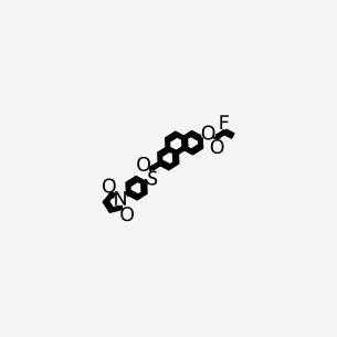 C=C(F)C(=O)Oc1ccc2c(ccc3cc(C(=O)Sc4ccc(N5C(=O)C=CC5=O)cc4)ccc32)c1